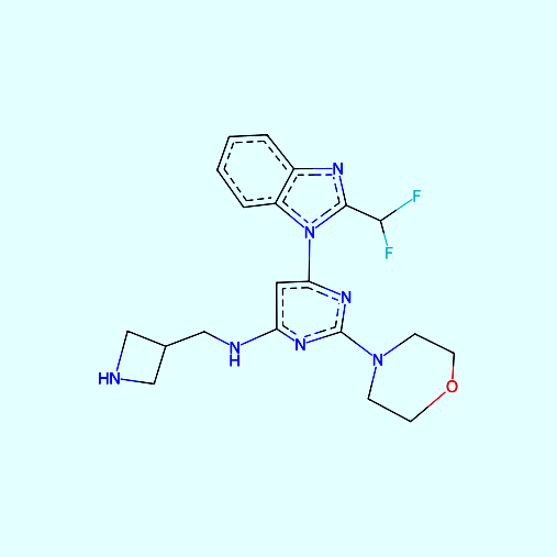 FC(F)c1nc2ccccc2n1-c1cc(NCC2CNC2)nc(N2CCOCC2)n1